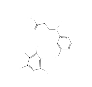 CCN(CCC(=O)OC)c1cccc(NC(C)=O)c1.N#Cc1cc([N+](=O)[O-])cc(Br)c1N